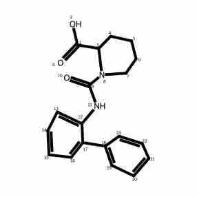 O=C(O)C1CCCCN1C(=O)Nc1ccccc1-c1ccccc1